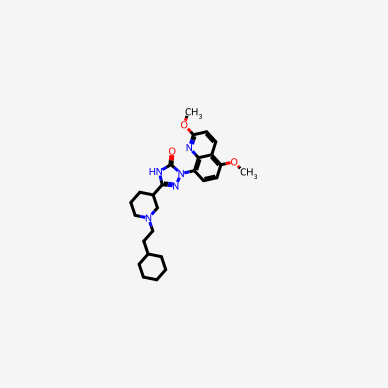 COc1ccc2c(OC)ccc(-n3nc(C4CCCN(CCC5CCCCC5)C4)[nH]c3=O)c2n1